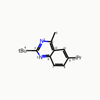 Cc1nc(C(C)(C)C)nc2ccc(C(C)C)cc12